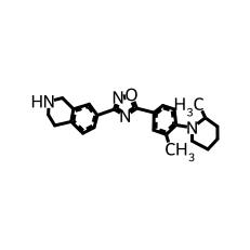 Cc1cc(-c2nc(-c3ccc4c(c3)CNCC4)no2)ccc1N1CCCCC1C